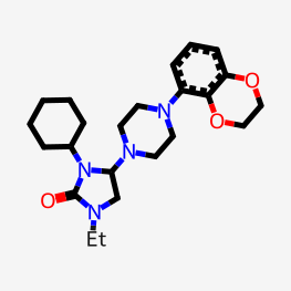 CCN1CC(N2CCN(c3cccc4c3OCCO4)CC2)N(C2CCCCC2)C1=O